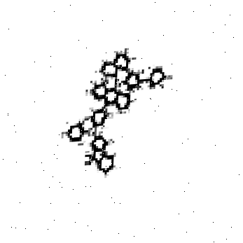 CC1(C)c2ccccc2-c2ccc(N(c3ccccc3)c3ccc(-c4c5ccccc5c(N(c5ccc(-c6ccccc6)cc5)c5cccc6ccccc56)c5ccccc45)cc3)cc21